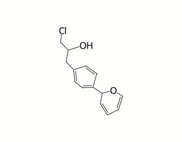 OC(CCl)Cc1ccc(C2C=CC=CO2)cc1